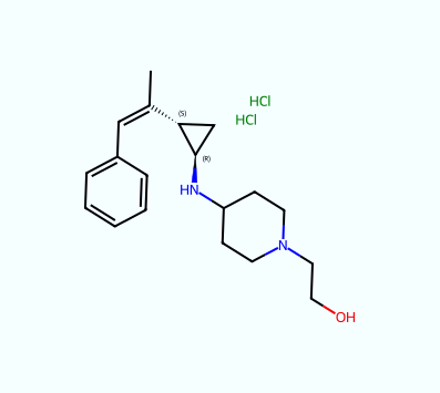 CC(=Cc1ccccc1)[C@@H]1C[C@H]1NC1CCN(CCO)CC1.Cl.Cl